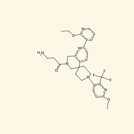 CCOc1ncccc1-c1ccc2c(n1)CN(C(=O)CCN)CC21CCN(c2ccc(OC)nc2C(F)(F)F)CC1